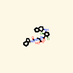 O=C(NCC(NC(=O)c1c(Cl)ccc(NC2CCc3ccccc3C2)c1Cl)C(=O)O)N[C@@H]1CCc2ccccc21